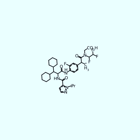 CC(C(=O)N(CC(=O)O)C(F)C(F)F)c1ccc(NC(=O)C(NC(=O)c2ccnn2C(C)C)C(C2CCCCC2)C2CCCCC2)c(F)c1